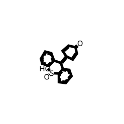 O=C1C=CC(=C(c2ccccc2)c2ccccc2S(=O)O)C=C1